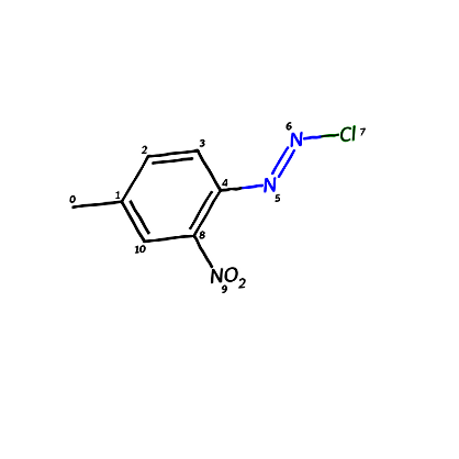 Cc1ccc(/N=N/Cl)c([N+](=O)[O-])c1